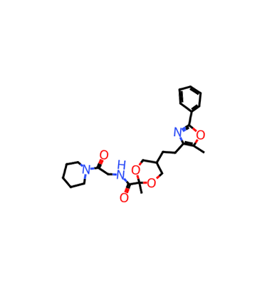 Cc1oc(-c2ccccc2)nc1CCC1COC(C)(C(=O)NCC(=O)N2CCCCC2)OC1